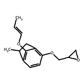 CC=COc1c2ccc(OCC3CO3)c1CC2C